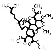 COC(=O)C1=C(C(=O)OC)CC(CC/C=C(\C)CCC=C(C)C)(C2=C(OC)OC(C(=O)OC)=C(C(=O)OC)C2C(=O)OC)C=C1